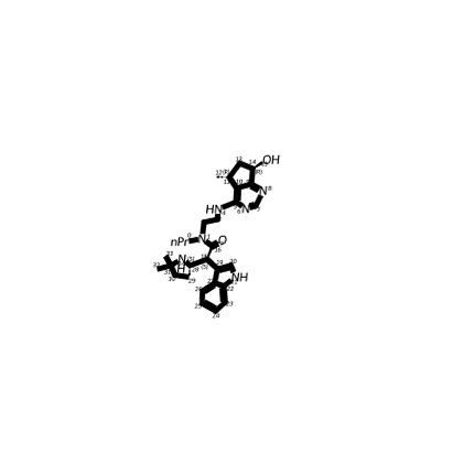 CCCN(CCNc1ncnc2c1[C@H](C)C[C@H]2O)C(=O)[C@@H](c1c[nH]c2ccccc12)[C@@H]1CCC(C)(C)N1